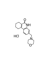 Cl.O=c1[nH]c2cc(CN3CCOCC3)ccc2c2c1CCCC2